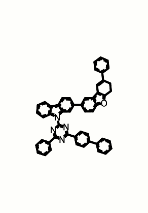 C1=C(c2ccccc2)CCc2oc3ccc(-c4ccc5c6ccccc6n(-c6nc(-c7ccccc7)nc(-c7ccc(-c8ccccc8)cc7)n6)c5c4)cc3c21